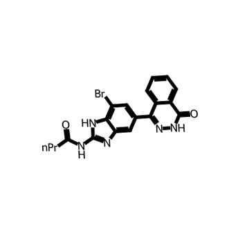 CCCC(=O)Nc1nc2cc(-c3n[nH]c(=O)c4ccccc34)cc(Br)c2[nH]1